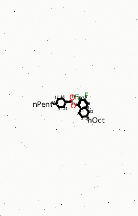 CCCCCCCCC1CCc2c(cc(F)c(F)c2OC(=O)C2CCC(CCCCC)CC2)C1